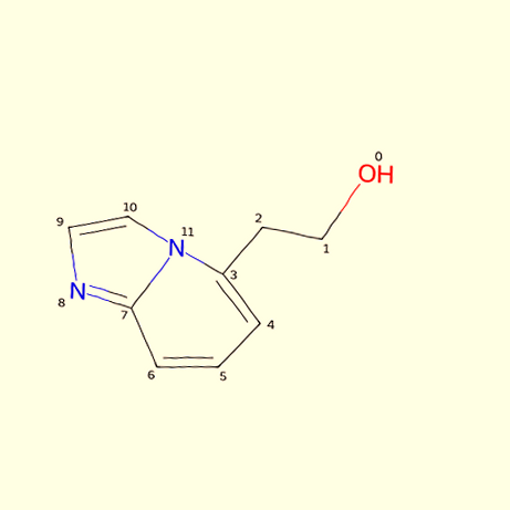 OCCc1cccc2nccn12